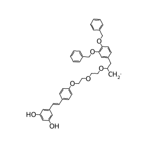 [CH2]C(Cc1ccc(OCc2ccccc2)c(OCc2ccccc2)c1)OCCOCCOc1ccc(/C=C/c2cc(O)cc(O)c2)cc1